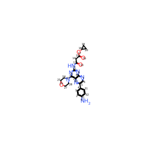 Nc1ccc(-c2cnc3nc(NC(=O)CC(=O)OC4CC4)nc(N4CCOCC4)c3n2)cc1